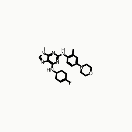 Cc1cc(N2CCOCC2)ccc1Nc1nc(NC2CC=C(F)CC2)c2nc[nH]c2n1